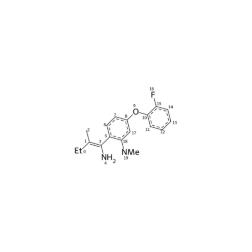 CC/C(C)=C(\N)c1ccc(Oc2ccccc2F)cc1NC